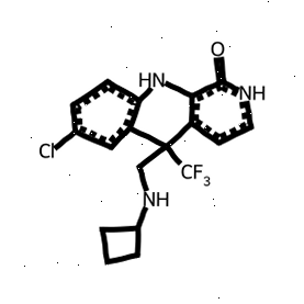 O=c1[nH]ccc2c1Nc1ccc(Cl)cc1C2(CNC1CCC1)C(F)(F)F